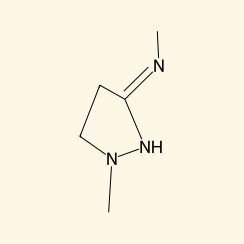 C/N=C1\CCN(C)N1